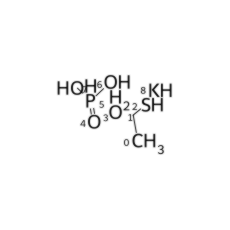 CCS.O.O=[PH](O)O.[KH]